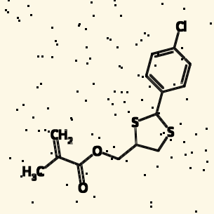 C=C(C)C(=O)OCC1CSC(c2ccc(Cl)cc2)S1